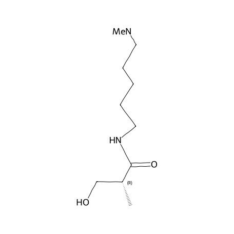 CNCCCCCNC(=O)[C@H](C)CO